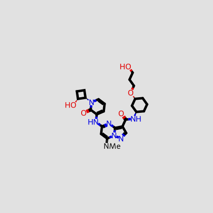 CNc1cc(Nc2cccn([C@H]3CC[C@H]3O)c2=O)nc2c(C(=O)N[C@@H]3CCC[C@@H](OCCCO)C3)cnn12